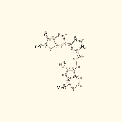 CCCN1Cc2cc(-c3cc(NCCn4c(C)cc5c(OC)cccc54)ncn3)ccc2C1=O